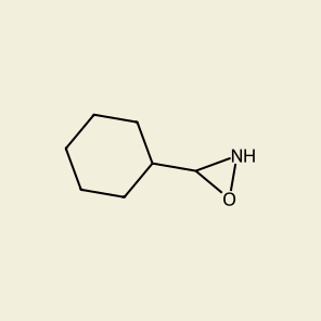 C1CCC(C2NO2)CC1